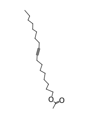 CCCCCCCCC#CCCCCCCCCOC(C)=O